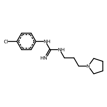 N=C(NCCCN1CCCC1)Nc1ccc(Cl)cc1